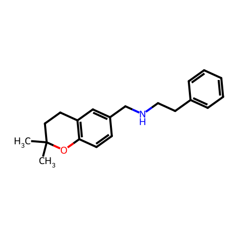 CC1(C)CCc2cc(CNCCc3ccccc3)ccc2O1